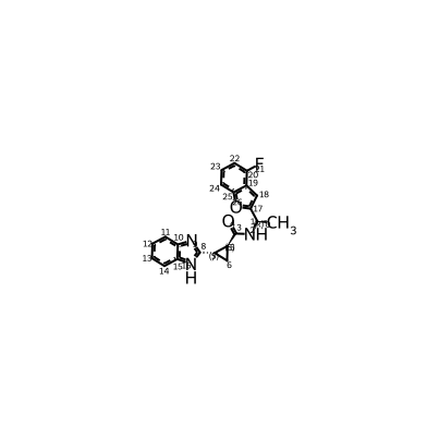 C[C@@H](NC(=O)[C@H]1C[C@@H]1c1nc2ccccc2[nH]1)c1cc2c(F)cccc2o1